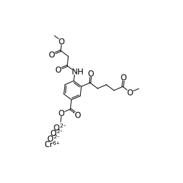 COC(=O)CCCC(=O)c1cc(C(=O)OC)ccc1NC(=O)CC(=O)OC.[Cr+6].[O-2].[O-2].[O-2]